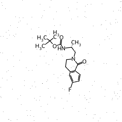 C[C@H](CN1CCc2cc(F)ccc2C1=O)NC(=O)OC(C)(C)C